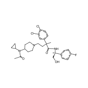 CC(=O)N(C1CC1)C1CCN(CCC(C)(C(=O)N[C@H](CO)c2ccc(F)cc2)c2ccc(Cl)c(Cl)c2)CC1